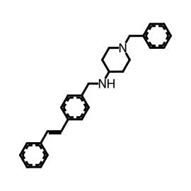 C(=C\c1ccc(CNC2CCN(Cc3ccccc3)CC2)cc1)/c1ccccc1